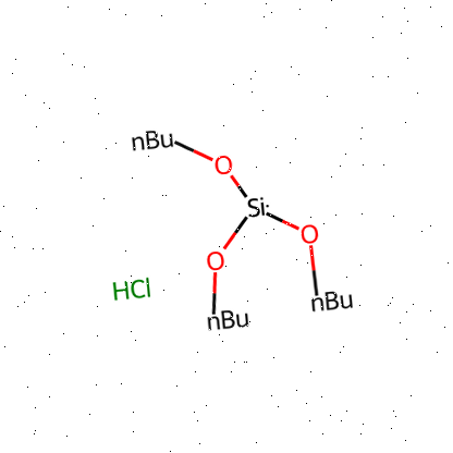 CCCCO[Si](OCCCC)OCCCC.Cl